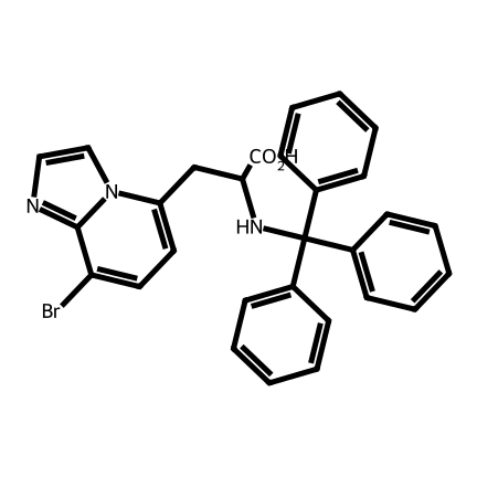 O=C(O)C(Cc1ccc(Br)c2nccn12)NC(c1ccccc1)(c1ccccc1)c1ccccc1